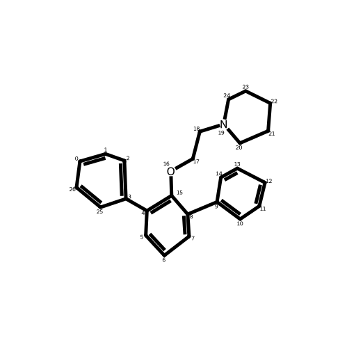 c1ccc(-c2cccc(-c3ccccc3)c2OCCN2CCCCC2)cc1